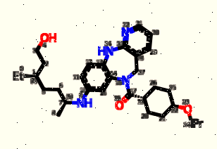 CC[C@@H](CCO)CC[C@H](C)Nc1ccc2c(c1)N(C(=O)[C@H]1CC[C@H](OC(C)C)CC1)Cc1cccnc1N2